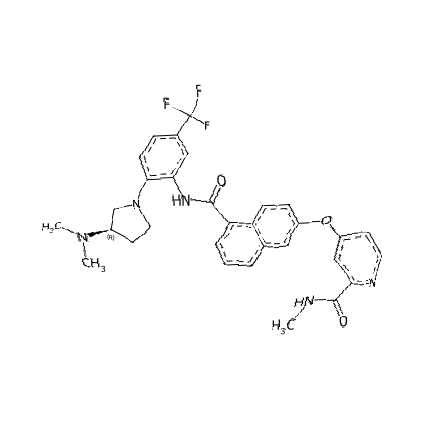 CNC(=O)c1cc(Oc2ccc3c(C(=O)Nc4cc(C(F)(F)F)ccc4N4CC[C@@H](N(C)C)C4)cccc3c2)ccn1